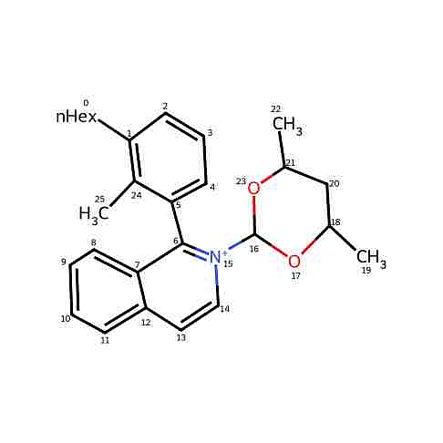 CCCCCCc1cccc(-c2c3ccccc3cc[n+]2C2OC(C)CC(C)O2)c1C